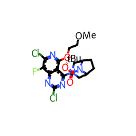 COCCOc1nc(Cl)c(F)c2nc(Cl)nc(N3CC4CCC(C3)N4C(=O)OC(C)(C)C)c12